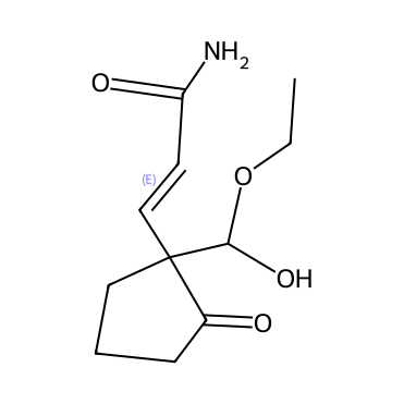 CCOC(O)C1(/C=C/C(N)=O)CCCC1=O